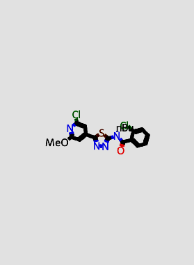 CCCCN(C(=O)c1ccccc1Cl)c1nnc(-c2cc(Cl)nc(OC)c2)s1